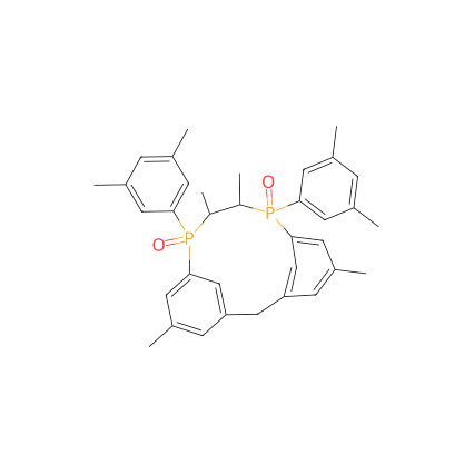 Cc1cc(C)cc(P2(=O)c3cc(C)cc(c3)Cc3cc(C)cc(c3)P(=O)(c3cc(C)cc(C)c3)C(C)C2C)c1